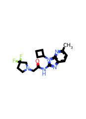 Cc1ccc2nc(NC(=O)CN3CCC(F)(F)C3)n(C3CCC3)c2n1